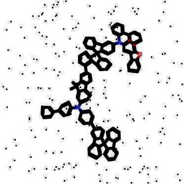 CC1(C)c2cc(-c3cccc4c3-c3ccccc3C43c4ccccc4-c4cc(N(c5ccc6oc7ccccc7c6c5)c5ccccc5-c5ccccc5)ccc43)ccc2-c2ccc(N(c3ccc(-c4ccccc4)cc3)c3ccc(-c4ccc5c(c4)-c4ccccc4C54c5ccccc5-c5ccccc54)cc3)cc21